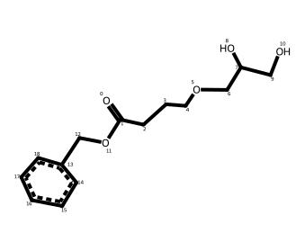 O=C(CCCOCC(O)CO)OCc1ccccc1